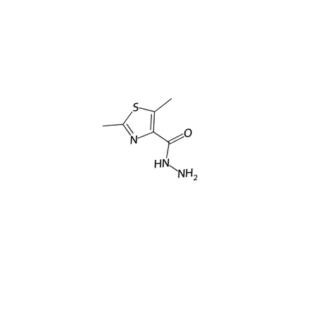 Cc1nc(C(=O)NN)c(C)s1